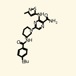 Cc1cc(Nc2nc(N3CCC[C@@H](NC(=O)c4ccc(C(C)(C)C)cc4)C3)cnc2C(N)=O)sn1